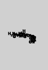 NC(=O)CCc1ccc(NC(=O)COCC(=O)ON2C(=O)CCC2=O)cc1